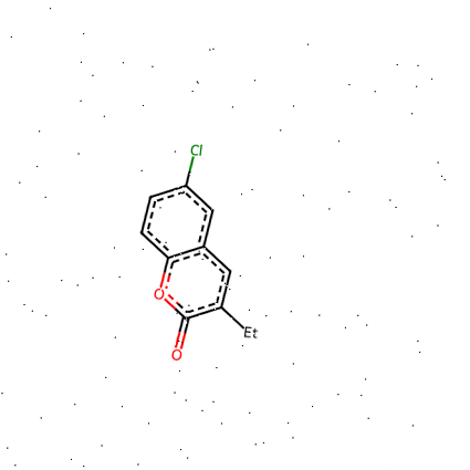 [CH2]Cc1cc2cc(Cl)ccc2oc1=O